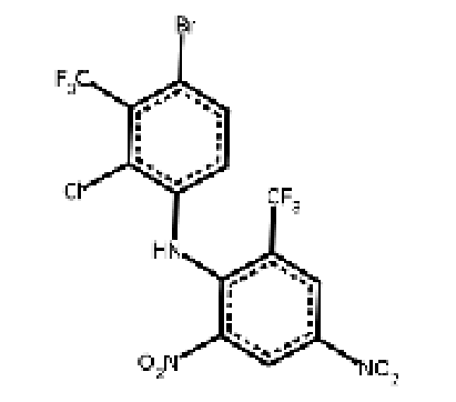 O=[N+]([O-])c1cc([N+](=O)[O-])c(Nc2ccc(Br)c(C(F)(F)F)c2Cl)c(C(F)(F)F)c1